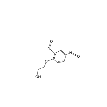 O=Nc1ccc(OCCO)c(N=O)c1